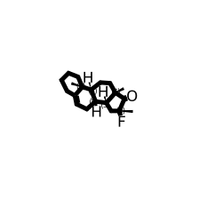 C[C@]12CCCCC1=CC[C@@H]1[C@@H]2CC[C@]2(C)C(=O)[C@](C)(F)C[C@@H]12